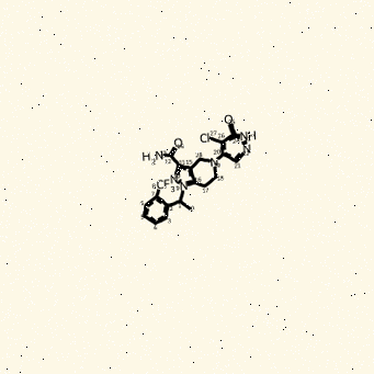 CC(c1ccccc1C(F)(F)F)n1nc(C(N)=O)c2c1CCN(c1cn[nH]c(=O)c1Cl)C2